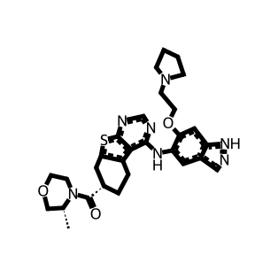 C[C@@H]1COCCN1C(=O)[C@H]1CCc2c(sc3ncnc(Nc4cc5cn[nH]c5cc4OCCN4CCCC4)c23)C1